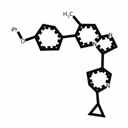 Cc1cc2ncc(-c3ccc(C4CC4)nc3)n2cc1-c1ccc(OC(C)C)cc1